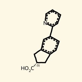 O=C(O)[C@H]1Cc2ccc(-c3ccccn3)cc2C1